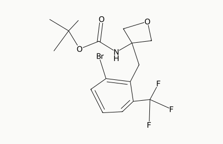 CC(C)(C)OC(=O)NC1(Cc2c(Br)cccc2C(F)(F)F)COC1